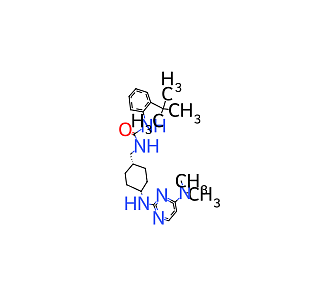 CN(C)c1ccnc(N[C@H]2CC[C@@H](CNC(=O)Nc3ccccc3C(C)(C)C)CC2)n1